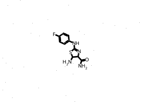 NC(=O)C1N=C(Nc2ccc(F)cc2)SC1N